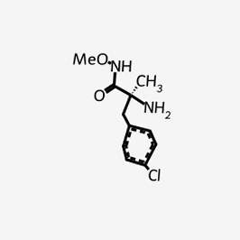 CONC(=O)[C@@](C)(N)Cc1ccc(Cl)cc1